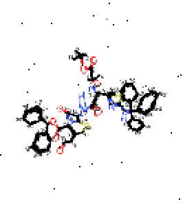 CC(C)(C)OC(=O)C(C)(C)ON=C(C(=O)NC1C(=O)N2C(C(=O)OC(c3ccccc3)c3ccccc3)=C(CC=O)CSC12)c1csc(NC(c2ccccc2)(c2ccccc2)c2ccccc2)n1